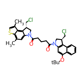 Cc1cc2c(c3c(C)csc13)[C@H](CCl)CN2C(=O)CCCC(=O)N1C[C@@H](CCl)c2c1cc(OC(C)(C)C)c1ccccc21